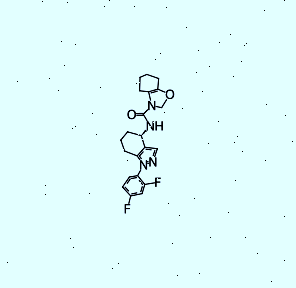 O=C(N[C@@H]1CCCc2c1cnn2-c1ccc(F)cc1F)N1COC2=C1CCCC2